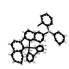 Cc1ccccc1N(c1ccccc1)c1ccc2c3c(ccc2c1)-c1ccc2ccccc2c1C31c2ccccc2-c2ccccc21